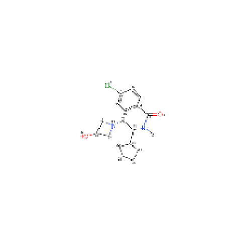 CN(C(=O)c1ccc(Cl)cc1)C(CN1CC(O)C1)C1CCCC1